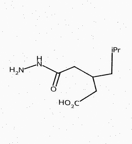 CC(C)CC(CC(=O)O)CC(=O)NN